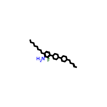 C/C=C/CCC1CCC(C2CCC(c3ccc(CCCCCCCC)c(N)c3F)CC2)CC1